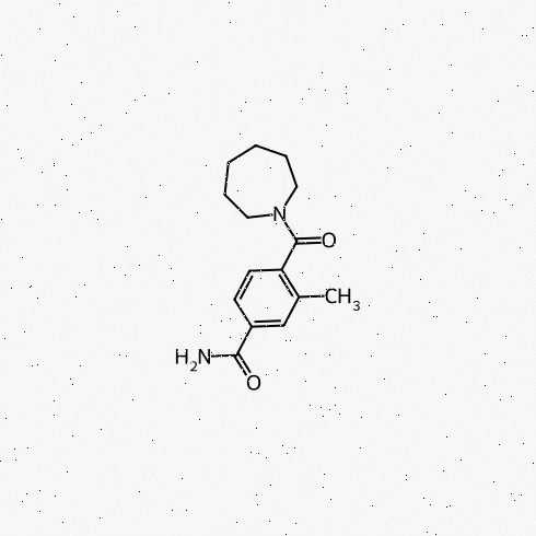 Cc1cc(C(N)=O)ccc1C(=O)N1CCCCCC1